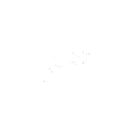 CS(=O)(=O)OCc1ccc(Br)nc1C1CC1